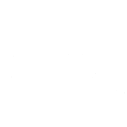 CCOC(=O)Cc1ccc(C#Cc2ccc3c(c2)C(CC)(CC)CCO3)cc1